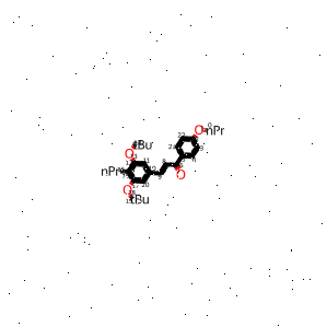 CCCOc1ccc(C(=O)C=Cc2cc(OC(C)(C)C)c(CCC)c(OC(C)(C)C)c2)cc1